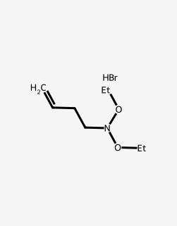 Br.C=CCCN(OCC)OCC